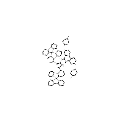 Ic1ccc(Oc2ccc3c4ccc(Oc5ccc(I)cc5)cc4c4nc5c(-c6cccc7c6-c6ccccc6C76c7ccccc7-c7ccccc76)sc(-c6cccc7c6-c6ccccc6C76c7ccccc7-c7ccccc76)c5nc4c3c2)cc1